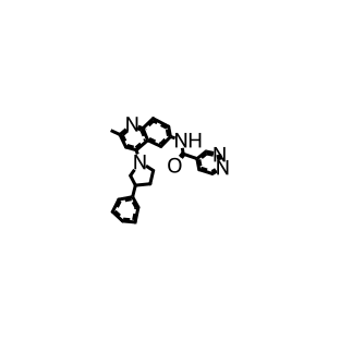 Cc1cc(N2CCC(c3ccccc3)C2)c2cc(NC(=O)c3ccnnc3)ccc2n1